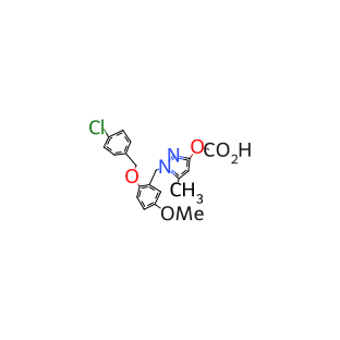 COc1ccc(OCc2ccc(Cl)cc2)c(Cn2nc(OC(=O)O)cc2C)c1